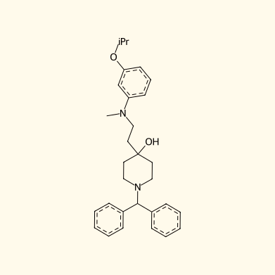 CC(C)Oc1cccc(N(C)CCC2(O)CCN(C(c3ccccc3)c3ccccc3)CC2)c1